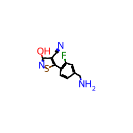 N#Cc1c(O)nsc1-c1ccc(CN)cc1F